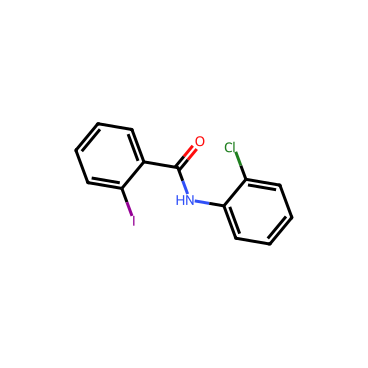 O=C(Nc1ccccc1Cl)c1ccccc1I